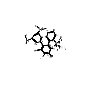 CN(C)c1cc(-c2c(F)c(F)c(F)c(F)c2-c2ccccc2S(N)(=O)=O)cc(N(C)C)c1